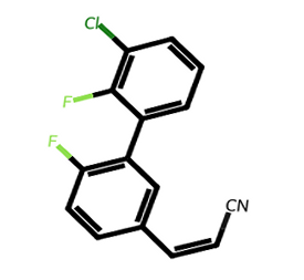 N#C/C=C\c1ccc(F)c(-c2cccc(Cl)c2F)c1